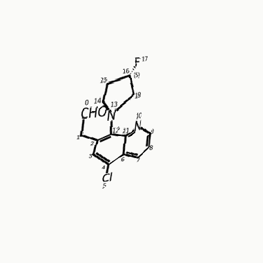 O=CCc1cc(Cl)c2cccnc2c1N1CC[C@H](F)C1